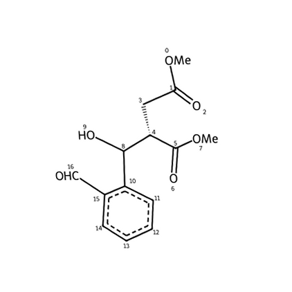 COC(=O)C[C@H](C(=O)OC)C(O)c1ccccc1C=O